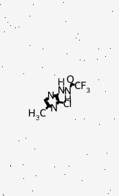 Cc1cnc(NNC(=O)C(F)(F)F)c(Cl)n1